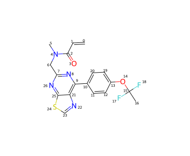 C=CC(=O)N(C)Cc1nc(-c2ccc(OC(C)(F)F)cc2)c2ncsc2n1